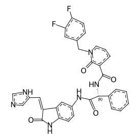 O=C1Nc2ccc(NC(=O)[C@H](NC(=O)c3cccn(Cc4ccc(F)c(F)c4)c3=O)c3ccccc3)cc2C1=Cc1cnc[nH]1